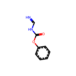 N=CNC(=O)Oc1ccccc1